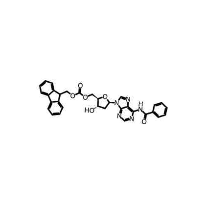 O=C(OCC1c2ccccc2-c2ccccc21)OC[C@H]1O[C@@H](n2cnc3c(NC(=O)c4ccccc4)ncnc32)C[C@@H]1O